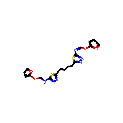 C(=N/c1nnc(CCCCc2nnc(NCOc3ccco3)s2)s1)/Oc1ccco1